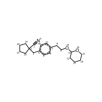 N#CC1(Cc2ccc(CCOC3CCCCO3)cc2)CCCC1